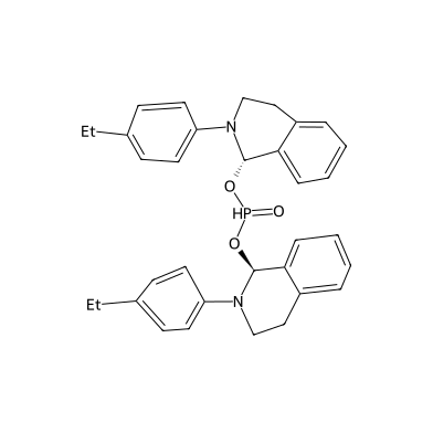 CCc1ccc(N2CCc3ccccc3[C@@H]2O[PH](=O)O[C@H]2c3ccccc3CCN2c2ccc(CC)cc2)cc1